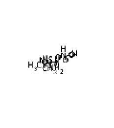 Cc1nnc2sc(C(=O)N3CCC(NC(=O)c4ccncc4)C3)c(N)c2c1C